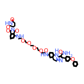 NC(=O)c1c(-c2ccc(Oc3ccccc3)cc2)nn2c1Nc1ccc(NC(=O)COCCOCCOCCOCCNc3cccc4c3C(=O)N(C3CCC(=O)NC3=O)C4=O)cc1CC2